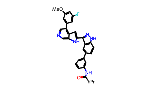 CCCC(=O)Nc1cccc(-c2ccc3[nH]nc(-c4cc5c(-c6cc(F)cc(OC)c6)cncc5[nH]4)c3c2)c1